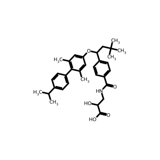 Cc1cc(OC(CC(C)(C)C)c2ccc(C(=O)NCC(O)C(=O)O)cc2)cc(C)c1-c1ccc(C(C)C)cc1